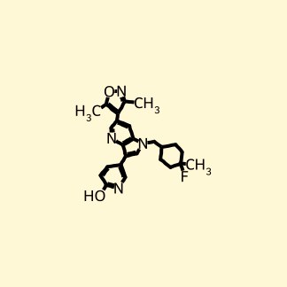 Cc1noc(C)c1-c1cnc2c(-c3ccc(O)nc3)cn(CC3CCC(C)(F)CC3)c2c1